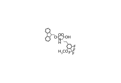 COc1cc(CC[C@H](NC(=O)OCC2c3ccccc3-c3ccccc32)C(=O)O)cc(F)c1C(F)(F)F